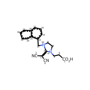 N#CC(C#N)=C1N(CCC(=O)O)CCN1Cc1cccc2ccccc12